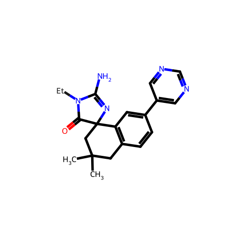 CCN1C(=O)C2(CC(C)(C)Cc3ccc(-c4cncnc4)cc32)N=C1N